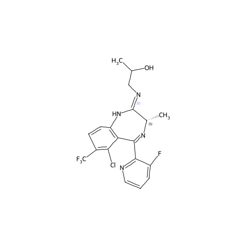 CC(O)C/N=C1\Nc2ccc(C(F)(F)F)c(Cl)c2C(c2ncccc2F)=N[C@H]1C